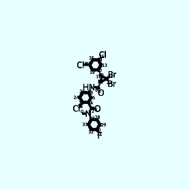 CN(C(=O)c1cc(NC(=O)[C@H]2[C@H](c3cc(Cl)cc(Cl)c3)C2(Br)Br)ccc1Cl)c1ccc(F)cc1